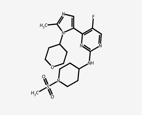 Cc1ncc(-c2nc(NC3CCN(S(C)(=O)=O)CC3)ncc2F)n1C1CCOCC1